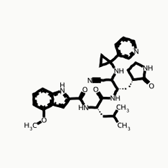 COc1cccc2[nH]c(C(=O)N[C@@H](CC(C)C)C(=O)N[C@@H](C[C@@H]3CCNC3=O)C(C#N)NC3(c4cccnc4)CC3)cc12